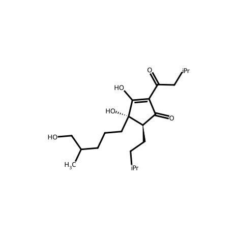 CC(C)CC[C@@H]1C(=O)C(C(=O)CC(C)C)=C(O)[C@]1(O)CCCC(C)CO